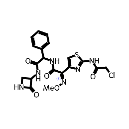 CO/N=C(\C(=O)NC(C(=O)NC1CNC1=O)c1ccccc1)c1csc(NC(=O)CCl)n1